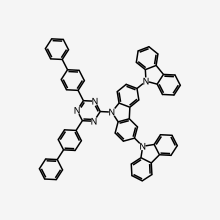 c1ccc(-c2ccc(-c3nc(-c4ccc(-c5ccccc5)cc4)nc(-n4c5ccc(-n6c7ccccc7c7ccccc76)cc5c5cc(-n6c7ccccc7c7ccccc76)ccc54)n3)cc2)cc1